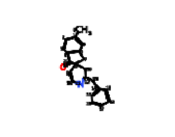 Cc1ccc2c(c1)CC1(C=CN=C(Cc3ccccc3)C1)C2=O